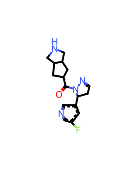 O=C(C1CC2CNCC2C1)N1N=CCC1c1cncc(F)c1